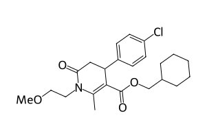 COCCN1C(=O)CC(c2ccc(Cl)cc2)C(C(=O)OCC2CCCCC2)=C1C